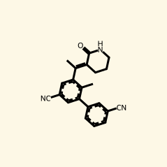 C/C(=C1/CCCNC1=O)c1cc(C#N)cc(-c2cccc(C#N)c2)c1C